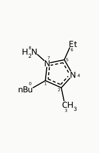 CCCCc1c(C)nc(CC)n1N